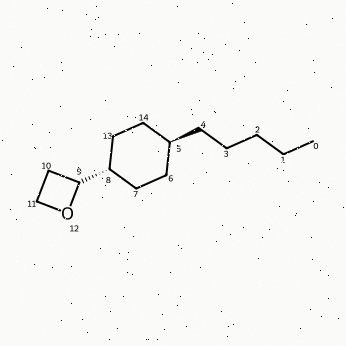 CCCCC[C@H]1CC[C@H](C2CCO2)CC1